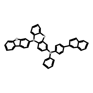 c1ccc(N(c2ccc(-c3ccc4ccccc4c3)cc2)c2ccc3c(c2)Sc2ccccc2N3c2ccc3c(c2)oc2ccccc23)cc1